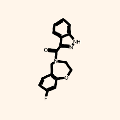 O=C(c1n[nH]c2ccccc12)N1CCOc2cc(F)ccc2C1